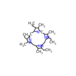 CCC1C2CC3NC(CC4NC(CC5NC(CC(=N2)C1C)C(C)C5CC)C(CC)C4C)C(C)C3CC